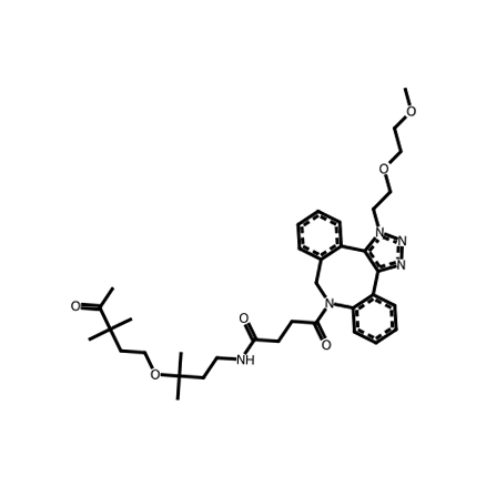 COCCOCCn1nnc2c1-c1ccccc1CN(C(=O)CCC(=O)NCCC(C)(C)OCCC(C)(C)C(C)=O)c1ccccc1-2